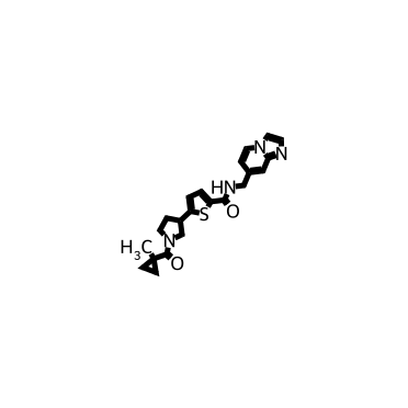 CC1(C(=O)N2CCC(c3ccc(C(=O)NCc4ccn5ccnc5c4)s3)C2)CC1